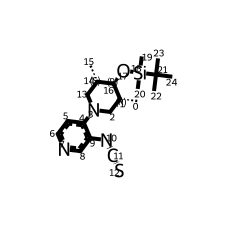 C[C@@H]1CN(c2ccncc2N=C=S)C[C@H](C)[C@H]1O[Si](C)(C)C(C)(C)C